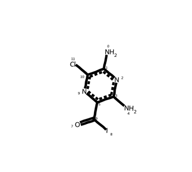 Nc1nc(N)c(C(=O)I)nc1Cl